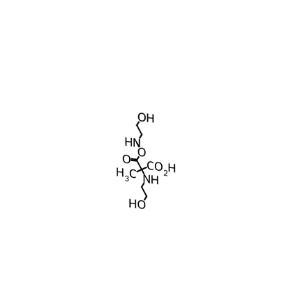 CC(NCCO)(C(=O)O)C(=O)ONCCO